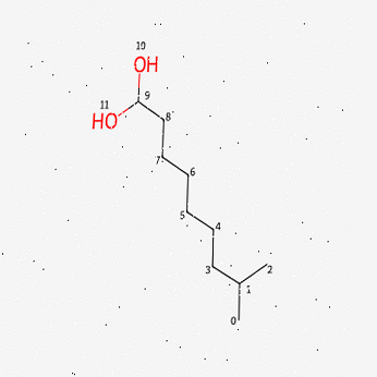 CC(C)CCCCCCC(O)O